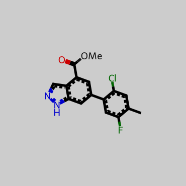 COC(=O)c1cc(-c2cc(F)c(C)cc2Cl)cc2[nH]ncc12